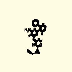 C=N/C(=C\c1cc(-c2c(C)ccnc2-c2ccccc2)nc(N)c1C)NC(=O)[C@H]1C[C@@H]1CC#N